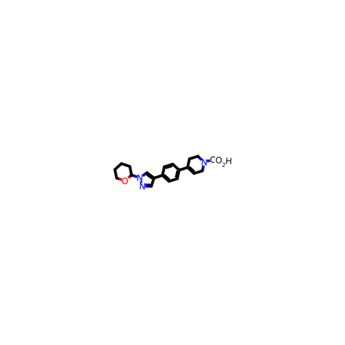 O=C(O)N1CC=C(c2ccc(-c3cnn(C4CCCCO4)c3)cc2)CC1